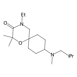 CCN1CC2(CCC(N(C)CC(C)C)CC2)OC(C)(C)C1=O